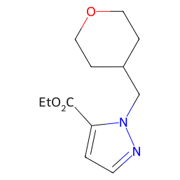 CCOC(=O)c1ccnn1CC1CCOCC1